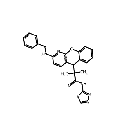 CC(C)(C(=O)Nc1nncs1)C1c2ccccc2Oc2nc(NCc3ccccc3)ccc21